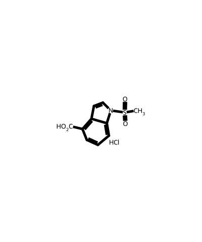 CS(=O)(=O)n1ccc2c(C(=O)O)cccc21.Cl